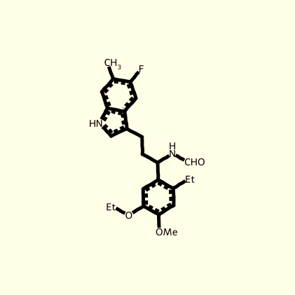 CCOc1cc(C(CCc2c[nH]c3cc(C)c(F)cc23)NC=O)c(CC)cc1OC